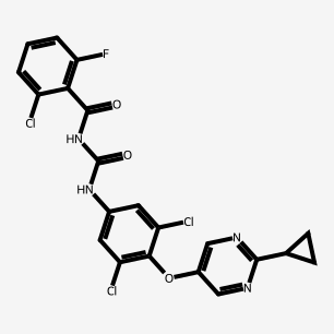 O=C(NC(=O)c1c(F)cccc1Cl)Nc1cc(Cl)c(Oc2cnc(C3CC3)nc2)c(Cl)c1